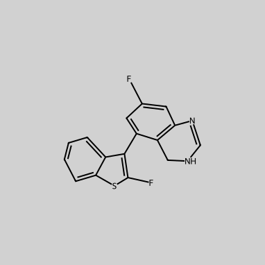 Fc1cc2c(c(-c3c(F)sc4ccccc34)c1)CNC=N2